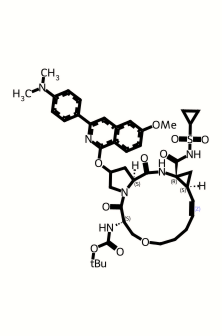 COc1ccc2c(OC3C[C@H]4C(=O)N[C@]5(C(=O)NS(=O)(=O)C6CC6)C[C@H]5/C=C\CCCOC[C@H](NC(=O)OC(C)(C)C)C(=O)N4C3)nc(-c3ccc(N(C)C)cc3)cc2c1